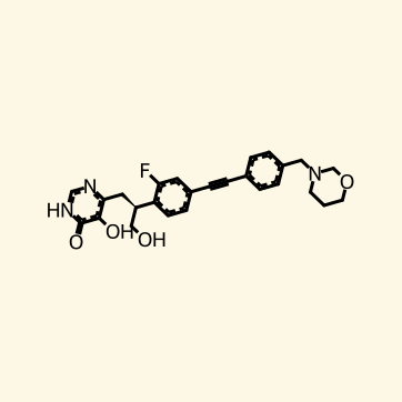 O=c1[nH]cnc(C[C@H](CO)c2ccc(C#Cc3ccc(CN4CCCOC4)cc3)cc2F)c1O